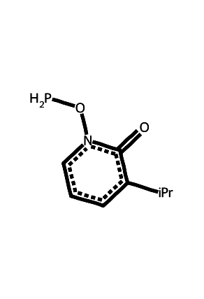 CC(C)c1cccn(OP)c1=O